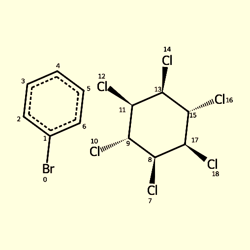 Brc1ccccc1.Cl[C@H]1[C@H](Cl)[C@@H](Cl)[C@@H](Cl)[C@H](Cl)[C@H]1Cl